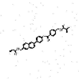 C=CC(=O)OCc1ccc2cc(-c3ccc(OC(=O)c4ccc(COC(=O)C(=C)C)cc4)cc3)ccc2c1